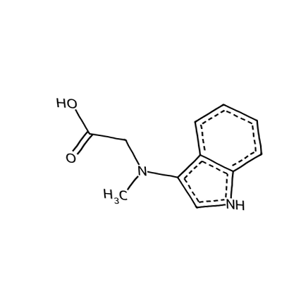 CN(CC(=O)O)c1c[nH]c2ccccc12